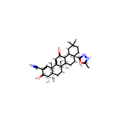 Cc1nnc([C@]23CCC(C)(C)CC2C2C(=O)C=C4[C@@]5(C)C=C(C#N)C(=O)[C@@H](C)[C@@H]5CC[C@@]4(C)[C@]2(C)CC3)o1